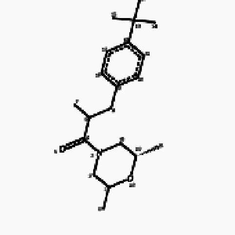 CC1CN(C(=O)C(C)Cc2ccc(C(C)(C)C)cc2)C[C@H](C)O1